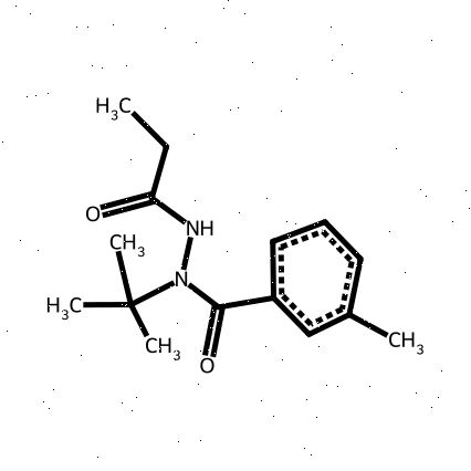 CCC(=O)NN(C(=O)c1cccc(C)c1)C(C)(C)C